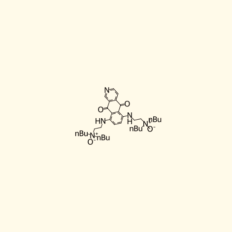 CCCC[N+]([O-])(CCCC)CCNc1ccc(NCC[N+]([O-])(CCCC)CCCC)c2c1C(=O)c1ccncc1C2=O